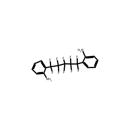 Nc1ccccc1C(F)(F)C(F)(F)C(F)(F)C(F)(F)C(F)(F)c1ccccc1N